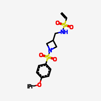 C=CS(=O)(=O)NCC1CN(S(=O)(=O)c2ccc(OC(C)C)cc2)C1